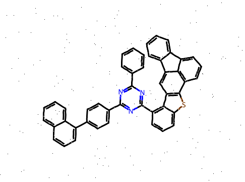 c1ccc(-c2nc(-c3ccc(-c4cccc5ccccc45)cc3)nc(-c3cccc4sc5c6cccc7c6c(cc5c34)-c3ccccc3-7)n2)cc1